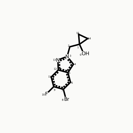 OC1(Cn2cc3cc(Br)c(F)cc3n2)CC1